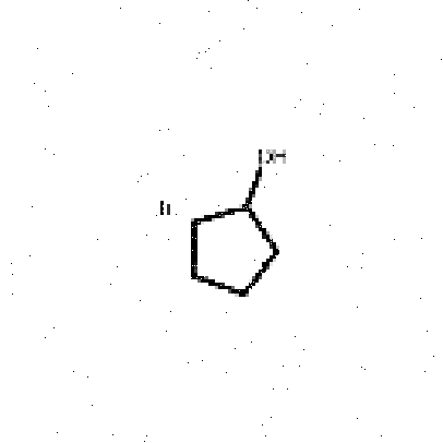 OC1CCCC1.[Ti]